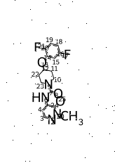 Cn1nccc(NC(=O)N2CCC(Oc3cc(F)ccc3F)CC2)c1=O